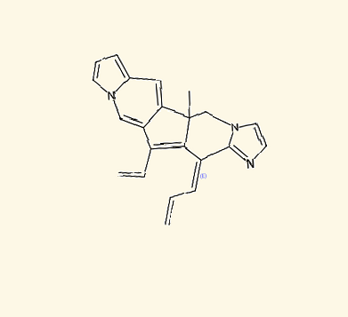 C=C/C=C1\C2=C(C=C)c3cn4cccc4cc3C2(C)Cn2ccnc21